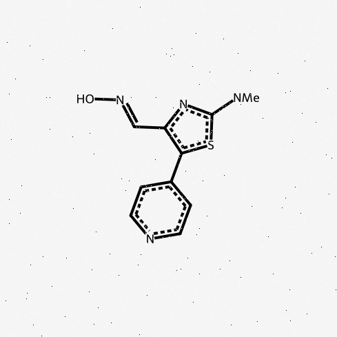 CNc1nc(C=NO)c(-c2ccncc2)s1